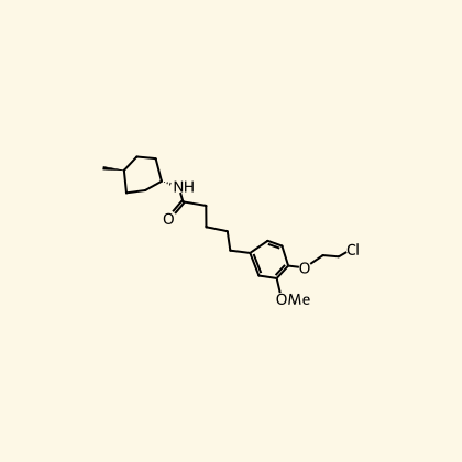 COc1cc(CCCCC(=O)N[C@H]2CC[C@H](C)CC2)ccc1OCCCl